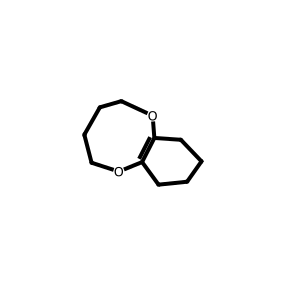 C1CCOC2=C(CCCC2)OC1